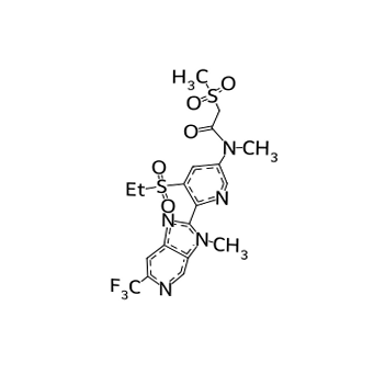 CCS(=O)(=O)c1cc(N(C)C(=O)CS(C)(=O)=O)cnc1-c1nc2cc(C(F)(F)F)ncc2n1C